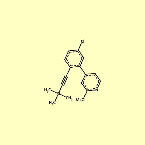 COc1cc(-c2cc(Cl)ccc2C#C[Si](C)(C)C)ccn1